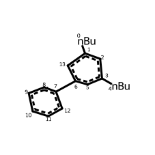 CCCCc1cc(CCCC)cc(-c2[c]cccc2)c1